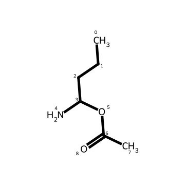 CCCC(N)OC(C)=O